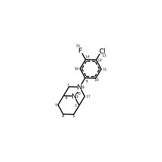 CN1C2CCCC1CN(c1ccc(Cl)c(F)c1)C2